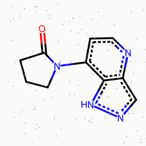 O=C1CCCN1c1ccnc2cn[nH]c12